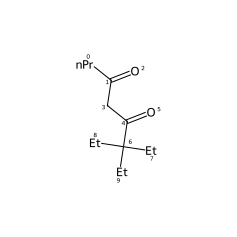 CCCC(=O)CC(=O)C(CC)(CC)CC